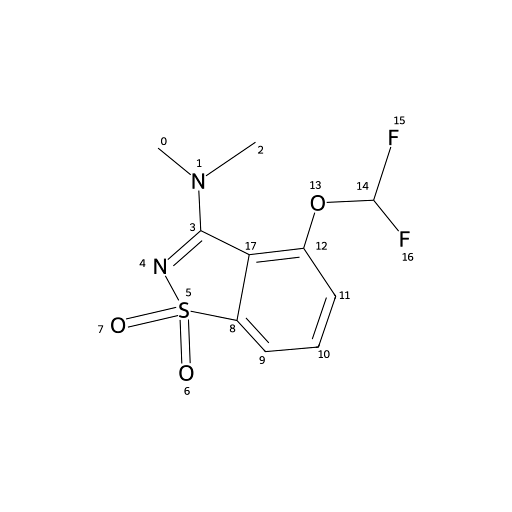 CN(C)C1=NS(=O)(=O)c2cccc(OC(F)F)c21